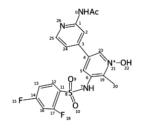 CC(=O)Nc1cc(-c2cc(NS(=O)(=O)c3ccc(F)cc3F)c(C)[n+](O)c2)ccn1